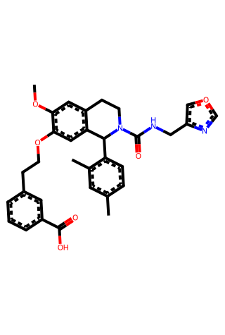 COc1cc2c(cc1OCCc1cccc(C(=O)O)c1)C(c1ccc(C)cc1C)N(C(=O)NCc1cocn1)CC2